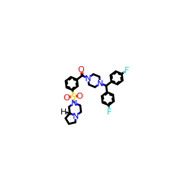 O=C(c1cccc(S(=O)(=O)N2CCN3CCC[C@@H]3C2)c1)N1CCN(C(c2ccc(F)cc2)c2ccc(F)cc2)CC1